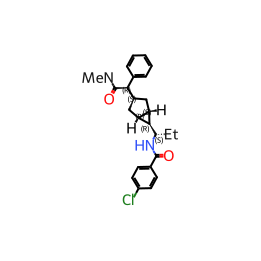 CC[C@H](NC(=O)c1ccc(Cl)cc1)[C@H]1[C@@H]2C[C@@H]([C@@H](C(=O)NC)c3ccccc3)C[C@@H]21